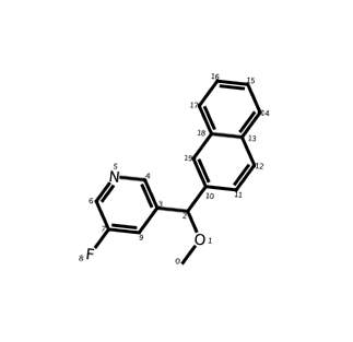 COC(c1cncc(F)c1)c1ccc2ccccc2c1